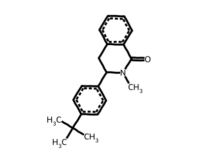 CN1C(=O)c2ccccc2CC1c1ccc(C(C)(C)C)cc1